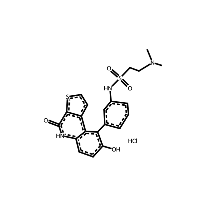 CN(C)CCS(=O)(=O)Nc1cccc(-c2c(O)ccc3[nH]c(=O)c4sccc4c23)c1.Cl